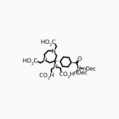 CCCCCCCCCCN(CCCCCCCCCC)C(=O)[C@H]1CC[C@H](C2(N(CC(=O)O)CC(=O)O)CN(CC(=O)O)CCN(CC(=O)O)C2)CC1